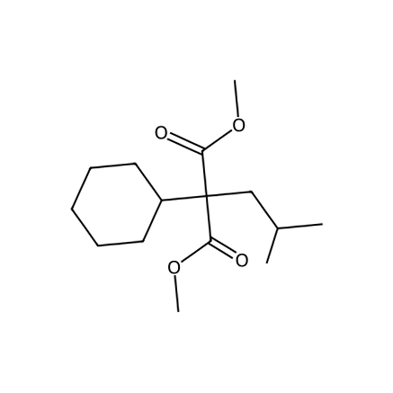 COC(=O)C(CC(C)C)(C(=O)OC)C1CCCCC1